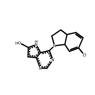 Oc1cc2ncnc(N3CCC4C=CC(Cl)=CC43)c2[nH]1